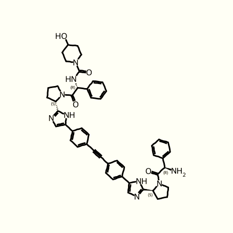 N[C@@H](C(=O)N1CCC[C@H]1c1ncc(-c2ccc(C#Cc3ccc(-c4cnc([C@@H]5CCCN5C(=O)[C@H](NC(=O)N5CCC(O)CC5)c5ccccc5)[nH]4)cc3)cc2)[nH]1)c1ccccc1